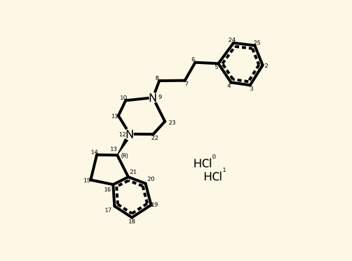 Cl.Cl.c1ccc(CCCN2CCN([C@@H]3CCc4ccccc43)CC2)cc1